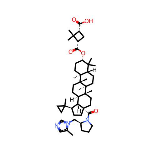 Cc1cncn1C[C@@H]1CCCN1C(=O)[C@]12CC[C@@H](C3(C)CC3)[C@@H]1[C@H]1CC[C@@]3(C)[C@@](C)(CC[C@H]4C(C)(C)[C@@H](OC(=O)[C@H]5C[C@@H](C(=O)O)C5(C)C)CC[C@@]43C)[C@]1(C)CC2